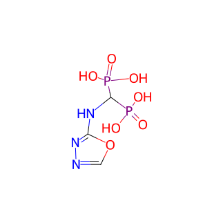 O=P(O)(O)C(Nc1nnco1)P(=O)(O)O